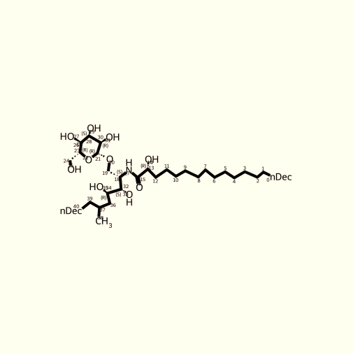 CCCCCCCCCCCCCCCCCCCCCC[C@@H](O)C(=O)N[C@@H](CO[C@@H]1O[C@H](CO)[C@@H](O)[C@H](O)[C@H]1O)[C@H](O)[C@H](O)CC(C)CCCCCCCCCCC